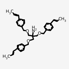 C/C=C/c1ccc(COCC(N)(COCc2ccc(/C=C/C)cc2)COCc2ccc(/C=C/C)cc2)cc1